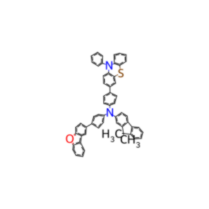 CC1(C)c2ccccc2-c2ccc(N(c3ccc(-c4ccc5c(c4)Sc4ccccc4N5c4ccccc4)cc3)c3ccc(-c4ccc5oc6ccccc6c5c4)cc3)cc21